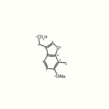 COc1ccc2c(CC(=O)O)coc2c1C